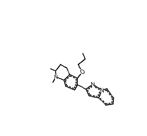 CCCOc1c(-c2cc3ccccn3n2)ccc2c1CCC(C)N2C